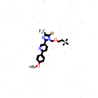 CCCCOc1ccc(-c2ccc(-c3nc(C(F)(F)F)c(Br)n3COCC[Si](C)(C)C)cn2)cc1